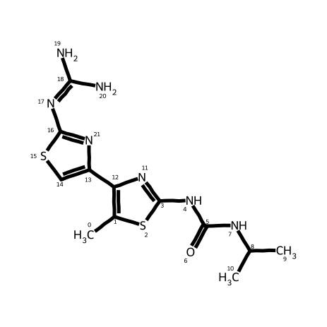 Cc1sc(NC(=O)NC(C)C)nc1-c1csc(N=C(N)N)n1